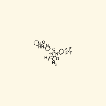 CC1(C)C(=O)N(c2ccc(SC(F)(F)F)cc2)C(=O)N1Cc1ccnc(NC(=O)N2CCCCC2)c1